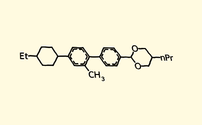 CCCC1COC(c2ccc(-c3ccc(C4CCC(CC)CC4)cc3C)cc2)OC1